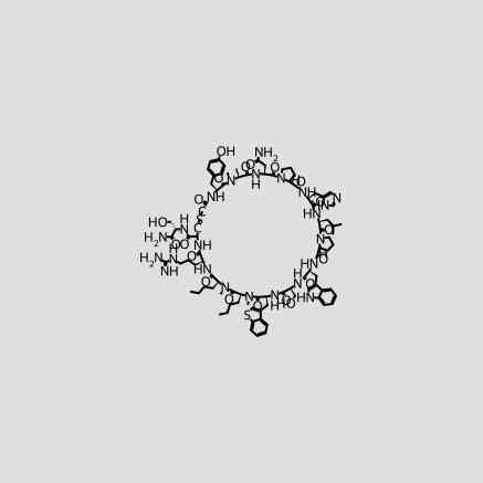 CCCC[C@H]1C(=O)N(C)[C@@H](CCCC)C(=O)N[C@@H](CCCNC(=N)N)C(=O)NC(C(=O)N[C@@H](CO)C(N)=O)CSCC(=O)N[C@@H](Cc2ccc(O)cc2)C(=O)N(C)[C@@H](C)C(=O)N[C@@H](CC(N)=O)C(=O)N2CCC[C@H]2C(=O)N[C@@H](Cc2cnc[nH]2)C(=O)N[C@@H](CC(C)C)C(=O)N2CCC[C@H]2C(=O)N[C@@H](Cc2c[nH]c3ccccc23)C(=O)N[C@@H](CO)C(=O)N[C@@H](Cc2csc3ccccc23)C(=O)N1C